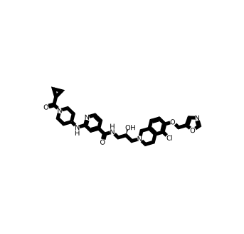 O=C(NC[C@H](O)CN1CCc2c(ccc(OCc3cnco3)c2Cl)C1)c1ccnc(NC2CCN(C(=O)C3CC3)CC2)c1